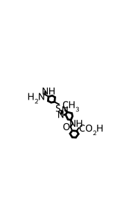 Cn1c(SCc2ccc(C(=N)N)cc2)nc2cc(NC(=O)c3ccccc3CC(=O)O)ccc21